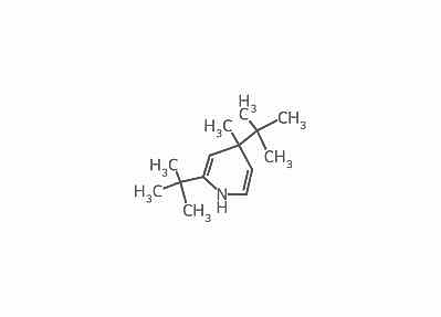 CC(C)(C)C1=CC(C)(C(C)(C)C)C=CN1